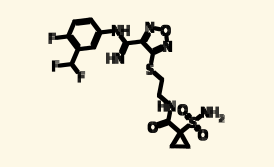 N=C(Nc1ccc(F)c(C(F)F)c1)c1nonc1SCCNC(=O)C1(S(N)(=O)=O)CC1